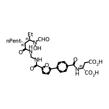 CCCCC[C@@H](C(=O)NCNC(=O)c1ccc(-c2ccc(C(=O)N[C@H](CC(=O)O)C(=O)O)cc2)o1)[C@@H](CC)N(O)C=O